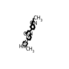 CCc1nc2ccc(-c3cc(=O)n4cc(N5CCN[C@@H](C)C5)ccc4n3)cc2o1